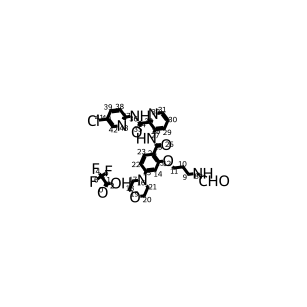 O=C(O)C(F)(F)F.O=CNCCCOc1cc(N2CCOCC2)ccc1C(=O)Nc1cccnc1C(=O)Nc1ccc(Cl)cn1